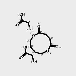 O=C(O)CS.O=C(O)CS.O=C1CCC(=O)OCCCCO1